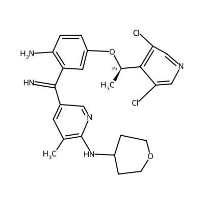 Cc1cc(C(=N)c2cc(O[C@H](C)c3c(Cl)cncc3Cl)ccc2N)cnc1NC1CCOCC1